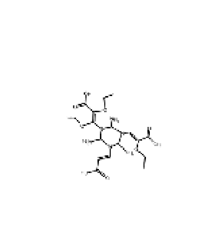 CCOC(=CN1C(N)N(C=CC(=O)O)C(N)N(C(OCC)=C(OCC)C(=O)O)C1N)C(=O)O